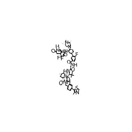 Cc1ncsc1-c1ccc(CNC(=O)[C@@H]2C[CH]CN2C(=O)[C@@H](NC(=O)CNC(=O)c2ccc(F)c(-c3ccc(N4C[C@@H](C)N(C)[C@@H](C)C4)c(NC(=O)c4c[nH]c(=O)cc4C(F)(F)F)c3)c2)C(C)(C)C)cc1